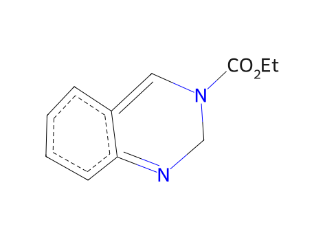 CCOC(=O)N1C=c2ccccc2=NC1